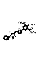 COC(=O)c1cc(-c2ccc(C=C3SC(=S)N(C4CC5CCC4C5)C3=O)o2)cc(OC)c1OC